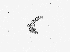 CC(C)NC(=O)c1cccc(C(=O)NCC2CCN(c3ccc(C#N)cc3)CC2)n1